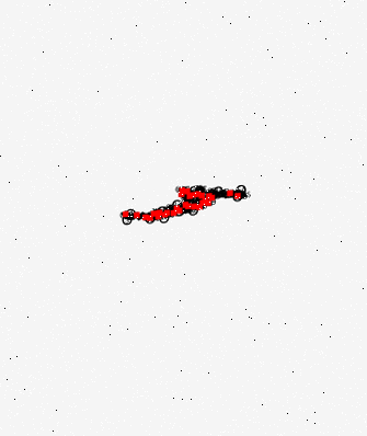 C=CC(=O)OCCCCCCOc1ccc(OC(=O)[C@H]2CC[C@H](C(=O)Oc3ccc(OC(=O)[C@H]4CC[C@H](C(=CC)Oc5ccc(OCCCCCCOC(=O)C=C)cc5)CC4)c(/C=N/N(c4ccc(C)cc4)c4nc5ccccc5s4)c3)CC2)cc1